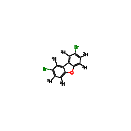 [2H]c1c(Br)c([2H])c2c(oc3c([2H])c([2H])c(Br)c([2H])c32)c1[2H]